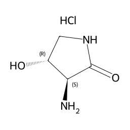 Cl.N[C@@H]1C(=O)NC[C@H]1O